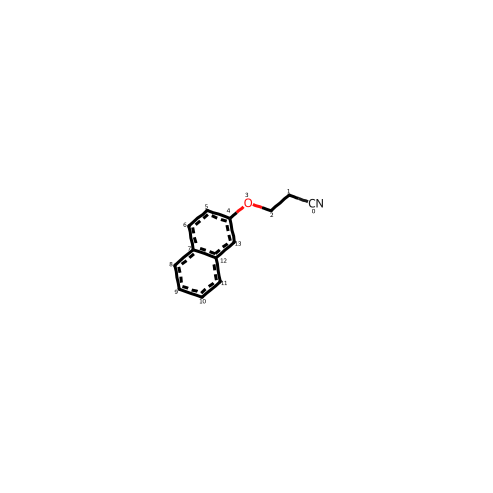 N#CCCOc1ccc2ccccc2c1